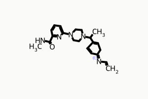 C=C/N=C1/C=CC(C(C)N2CCN(c3cccc(C(=O)NC)n3)CC2)=CC1